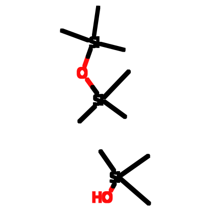 C[Si](C)(C)O.C[Si](C)(C)O[Si](C)(C)C